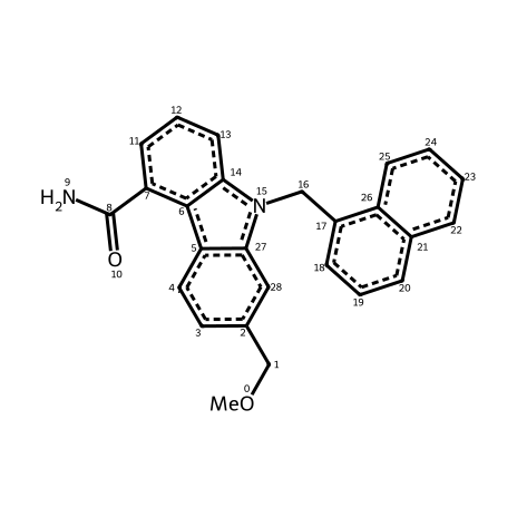 COCc1c[c]c2c3c(C(N)=O)cccc3n(Cc3cccc4ccccc34)c2c1